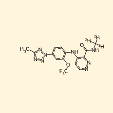 [2H]C([2H])([2H])NC(=O)c1nnccc1Nc1ccc(-n2nnc(C)n2)cc1OC(F)(F)F